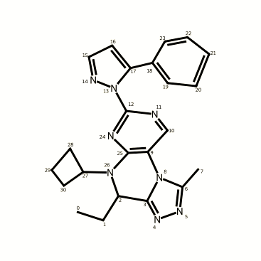 CCC1c2nnc(C)n2-c2cnc(-n3nccc3-c3ccccc3)nc2N1C1CCC1